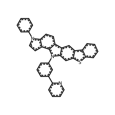 c1ccc(-n2ccc3c2ccc2c4cc5c(cc4n(-c4cccc(-c6ccccn6)c4)c23)sc2ccccc25)cc1